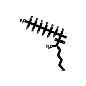 CN(CCCCBr)S(=O)(=O)C(F)(F)C(F)(F)C(F)(F)C(F)(F)C(F)(F)C(F)(F)C(F)(F)C(F)(F)F